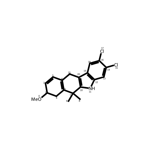 COC1C=CC2=C(C1)C(C)(C)c1[nH]c3cc(Cl)c(Cl)cc3c1C2